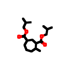 CC(C)COC(=O)C1CCCC(C)C(C(=O)OCC(C)C)C1